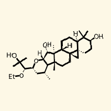 CCO[C@@H]([C@H]1C[C@@H](C)C2[C@H](O1)[C@H](O)[C@@]1(C)[C@@H]3CC[C@H]4C(C)(C)[C@@H](O)CC[C@@]45C[C@@]35CC[C@]21C)C(C)(C)O